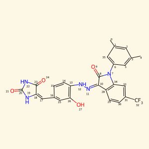 Cc1cc(C)cc(N2C(=O)C(=NNc3ccc(C=C4NC(=O)NC4=O)cc3O)c3ccc(C(F)(F)F)cc32)c1